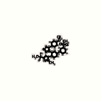 Cn1nc(C(C)(F)F)cc1-c1ccc(-c2cccc(S(C)(=O)=O)c2)cc1-n1nncc1-c1ccc(OC(F)(F)F)cc1